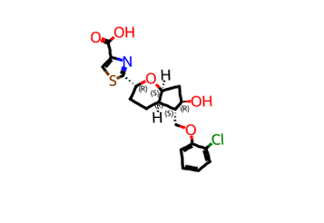 O=C(O)c1csc([C@H]2CC[C@@H]3[C@@H](COc4ccccc4Cl)[C@H](O)C[C@@H]3O2)n1